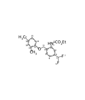 CCOC(=O)Nc1cc(C(F)F)ccc1COc1ccc(C)cc1C